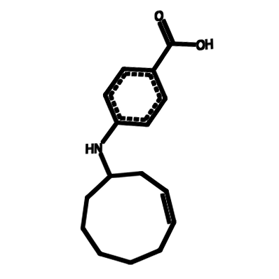 O=C(O)c1ccc(NC2CC=CCCCCC2)cc1